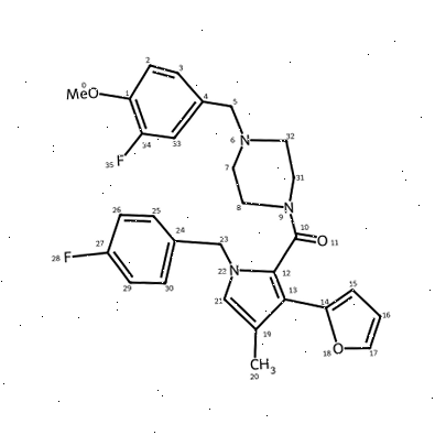 COc1ccc(CN2CCN(C(=O)c3c(-c4ccco4)c(C)cn3Cc3ccc(F)cc3)CC2)cc1F